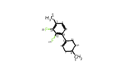 Cc1ccc(C2=CCC(C)CC2)c(F)c1F